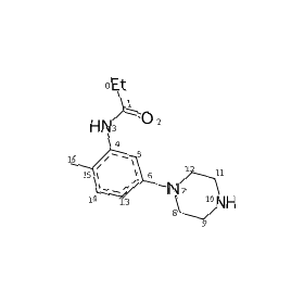 CCC(=O)Nc1cc(N2CCNCC2)ccc1C